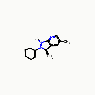 C=C1c2cc(C)cnc2N(C)N1C1CCCCC1